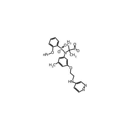 CCCOc1ccccc1S(=O)(=O)N(c1cc(C)cc(OCCNc2ccnnc2)c1)C(C)(C)P(=O)=O